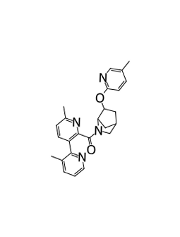 Cc1ccc(OC2CC3CC2N(C(=O)c2nc(C)ccc2-c2ncccc2C)C3)nc1